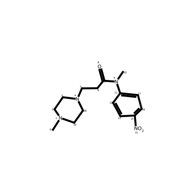 CN1CCN(CCC(=O)N(C)c2ccc([N+](=O)[O-])cc2)CC1